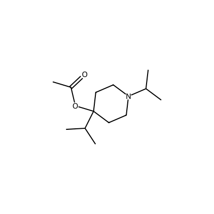 CC(=O)OC1(C(C)C)CCN(C(C)C)CC1